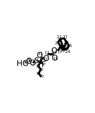 CCCCC(F)(SOOO)C(=O)OCC(=O)OCC12CC3CC(CC(C3)C1)C2